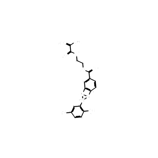 C=C(C)C(=O)OCCOC(=O)c1ccc2c(c1)n1n(-c3cc(CC)ccc3O)n21